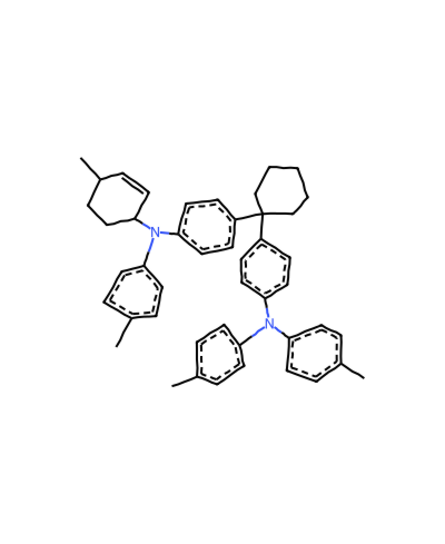 Cc1ccc(N(c2ccc(C)cc2)c2ccc(C3(c4ccc(N(c5ccc(C)cc5)C5C=CC(C)CC5)cc4)CCCCC3)cc2)cc1